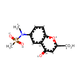 CN(c1ccc2oc(C(=O)O)cc(=O)c2c1)S(C)(=O)=O